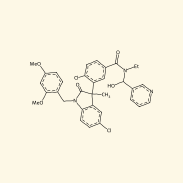 CCN(C(=O)c1ccc(Cl)c(C2(C)C(=O)N(Cc3ccc(OC)cc3OC)c3ccc(Cl)cc32)c1)C(O)c1cccnc1